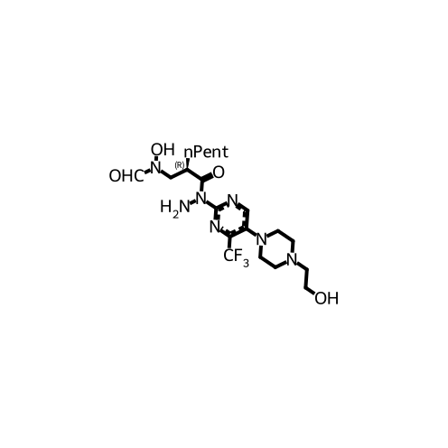 CCCCC[C@H](CN(O)C=O)C(=O)N(N)c1ncc(N2CCN(CCO)CC2)c(C(F)(F)F)n1